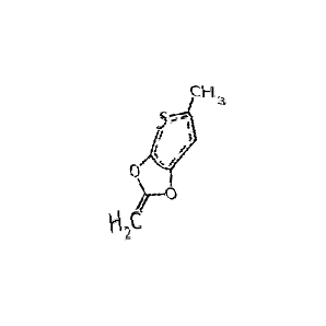 C=C1Oc2cc(C)sc2O1